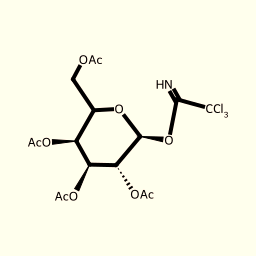 CC(=O)OCC1O[C@@H](OC(=N)C(Cl)(Cl)Cl)[C@H](OC(C)=O)[C@@H](OC(C)=O)[C@H]1OC(C)=O